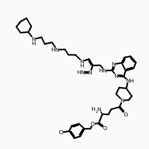 N=N/C(=C\NCCCNCCCNC1CCCCC1)CNc1nc(NC2CCN(C(=O)CC[C@H](N)C(=O)OCc3ccc(Cl)cc3)CC2)c2ccccc2n1